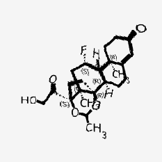 CC1O[C@@]2(C(=O)CO)CC[C@@]3(O1)[C@@H]1CCC4=CC(=O)CC[C@]4(C)[C@H]1[C@@H](F)C[C@]23C